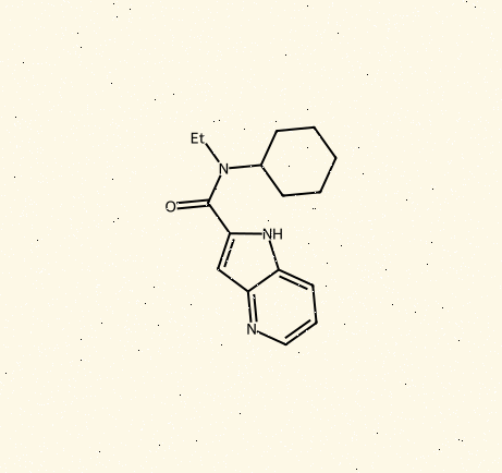 CCN(C(=O)c1cc2ncccc2[nH]1)C1CCCCC1